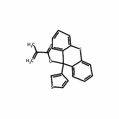 C=C(C)C(=O)OC1(c2ccsc2)c2ccccc2Sc2ccccc21